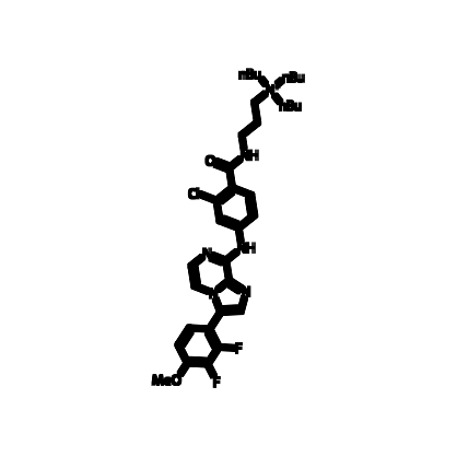 CCCC[N+](CCCC)(CCCC)CCCNC(=O)c1ccc(Nc2nccn3c(-c4ccc(OC)c(F)c4F)cnc23)cc1Cl